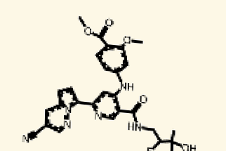 COC(=O)c1ccc(Nc2cc(-c3ccc4cc(C#N)cnn34)ncc2C(=O)NCC(F)C(C)(C)O)cc1OC